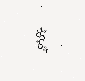 Cc1ccc2c(Nc3cccc(OC(F)(F)F)c3)nccc2c1[N+](=O)[O-]